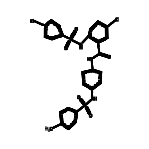 Cc1ccc(S(=O)(=O)Nc2ccc(NC(=O)c3cc(Cl)ccc3NS(=O)(=O)c3ccc(Cl)cc3)cc2)cc1